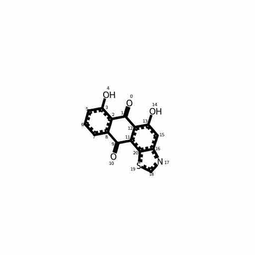 O=C1c2c(O)cccc2C(=O)c2c1c(O)cc1ncsc21